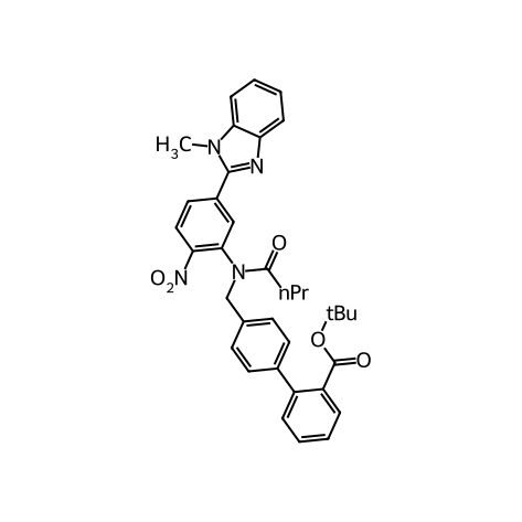 CCCC(=O)N(Cc1ccc(-c2ccccc2C(=O)OC(C)(C)C)cc1)c1cc(-c2nc3ccccc3n2C)ccc1[N+](=O)[O-]